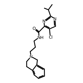 CC(C)c1ncc(Cl)c(C(=O)NCCCN2CCc3ccccc3C2)n1